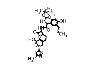 CSCc1cc(C(NC(=O)OC(C)(C)C)C(=O)NC2C(=O)N3C(C(=O)O)=C(CSc4nnc(C)s4)CSC23)ccc1O